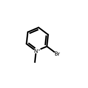 C[n+]1ccccc1Br